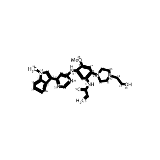 C=CC(=O)Nc1cc(Nc2cc(-c3cn(C)c4ccccc34)ncn2)c(OC)cc1N1CCN(CCO)CC1